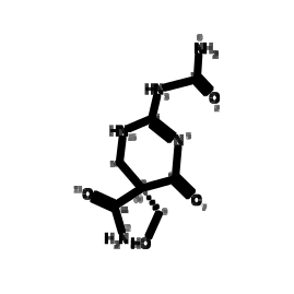 NC(=O)NC1=NC(=O)[C@@](CO)(C(N)=O)CN1